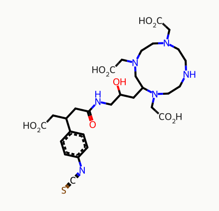 O=C(O)CC(CC(=O)NCC(O)CC1CN(CC(=O)O)CCN(CC(=O)O)CCNCCN1CC(=O)O)c1ccc(N=C=S)cc1